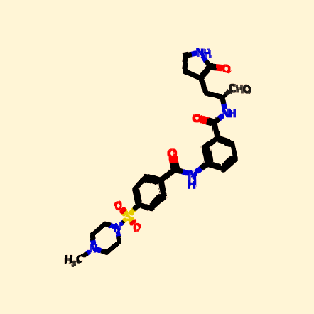 CN1CCN(S(=O)(=O)c2ccc(C(=O)Nc3cccc(C(=O)N[C@H](C=O)CC4CCNC4=O)c3)cc2)CC1